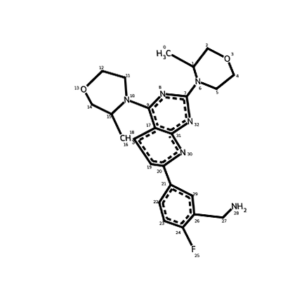 CC1COCCN1c1nc(N2CCOCC2C)c2ccc(-c3ccc(F)c(CN)c3)nc2n1